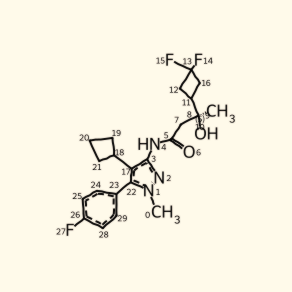 Cn1nc(NC(=O)C[C@](C)(O)C2CC(F)(F)C2)c(C2CCC2)c1-c1ccc(F)cc1